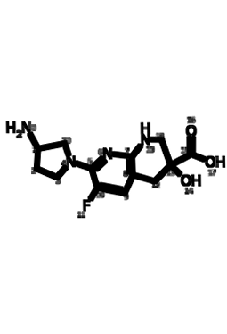 NC1CCN(c2nc3c(cc2F)CC(O)(C(=O)O)CN3)C1